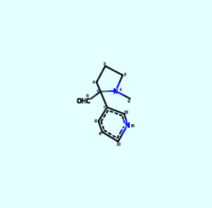 CN1CCCC1(C=O)c1cccnc1